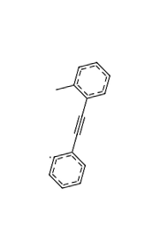 Cc1ccccc1C#Cc1[c]cccc1